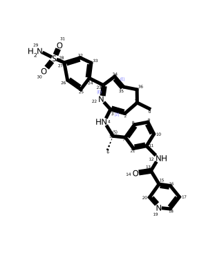 CC1\C=C(N[C@@H](C)c2cccc(NC(=O)c3cccnc3)c2)/N=C(c2ccc(S(N)(=O)=O)cc2)\C=C\C1